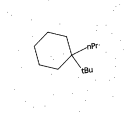 CC[CH]C1(C(C)(C)C)CCCCC1